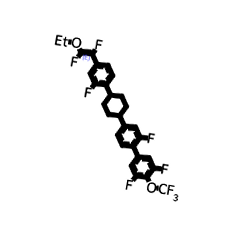 CCO/C(F)=C(\F)c1ccc(C2CCC(c3ccc(-c4cc(F)c(OC(F)(F)F)c(F)c4)c(F)c3)CC2)c(F)c1